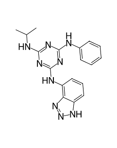 CC(C)Nc1nc(Nc2ccccc2)nc(Nc2cccc3[nH]nnc23)n1